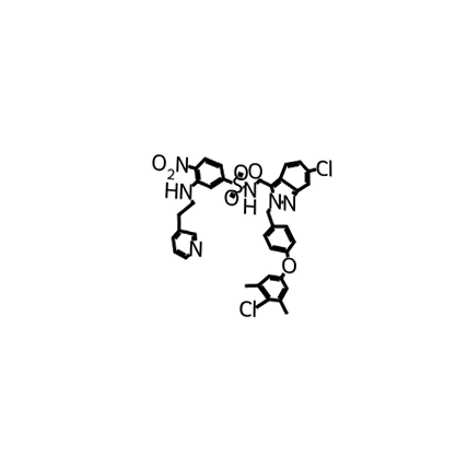 Cc1cc(Oc2ccc(Cn3nc4cc(Cl)ccc4c3C(=O)NS(=O)(=O)c3ccc([N+](=O)[O-])c(NCCc4cccnc4)c3)cc2)cc(C)c1Cl